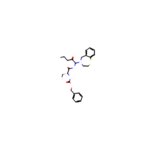 CC(C)CCC(=O)C(NC(=O)[C@H](CC(C)C)NC(=O)OCc1ccccc1)N1CCSc2ccccc2C1